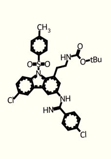 Cc1ccc(S(=O)(=O)n2c3ccc(Cl)cc3c3cc(NC(=N)c4ccc(Cl)cc4)cc(CCNC(=O)OC(C)(C)C)c32)cc1